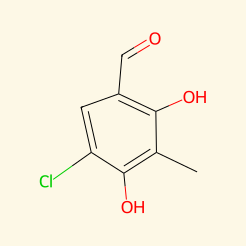 Cc1c(O)c(Cl)cc(C=O)c1O